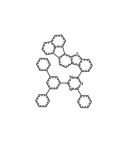 c1ccc(-c2cc(-c3ccccc3)cc(-c3nc(-c4ccccc4)nc(-c4cccc5sc6c7c(ccc6c45)-c4cccc5cccc-7c45)n3)c2)cc1